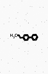 CCCc1[c]cc(-c2ccccc2)cc1